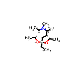 [2H]C(CC[Si](CC)(OCC)OCC)N(C)CC